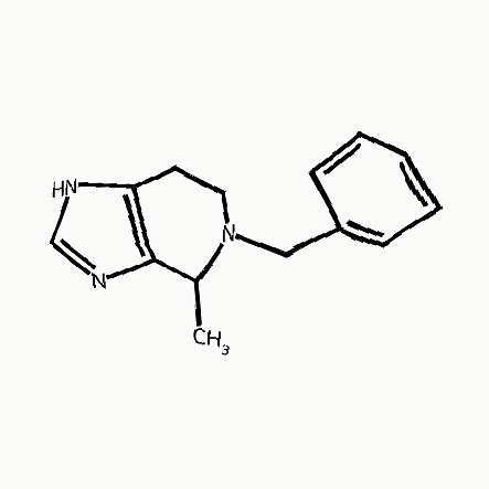 CC1c2nc[nH]c2CCN1Cc1ccccc1